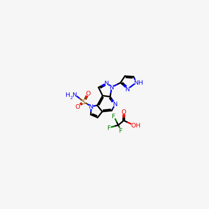 NS(=O)(=O)n1ccc2cnc3c(cnn3-c3cc[nH]n3)c21.O=C(O)C(F)(F)F